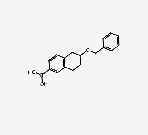 OB(O)c1ccc2c(c1)CCC(OCc1ccccc1)C2